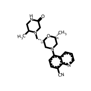 CC1CNC(=O)CN1C[C@H]1CN(c2ccc(C#N)c3ncccc23)C[C@@H](C)O1